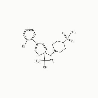 CCc1ccccc1C1=CCC(CN2CCC(S(C)(=O)=O)CC2)(C(O)(C(F)(F)F)C(F)(F)F)C=C1